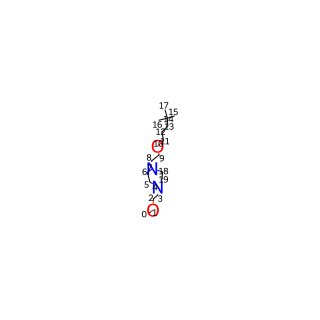 COCCN1CCN(CCOCCCC(C)(C)C)CC1